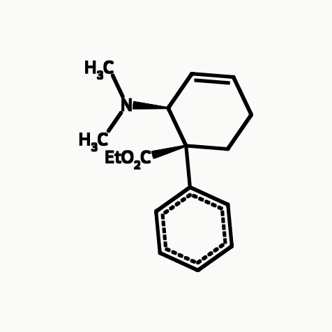 CCOC(=O)[C@]1(c2ccccc2)CCC=C[C@@H]1N(C)C